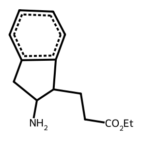 CCOC(=O)CCC1c2ccccc2CC1N